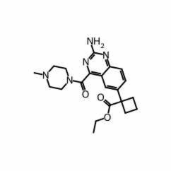 CCOC(=O)C1(c2ccc3nc(N)nc(C(=O)N4CCN(C)CC4)c3c2)CCC1